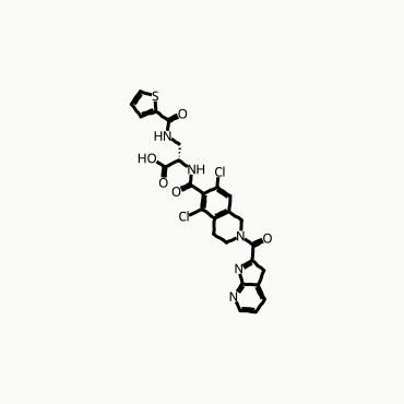 O=C(NC[C@H](NC(=O)c1c(Cl)cc2c(c1Cl)CCN(C(=O)C1=Nc3ncccc3C1)C2)C(=O)O)c1cccs1